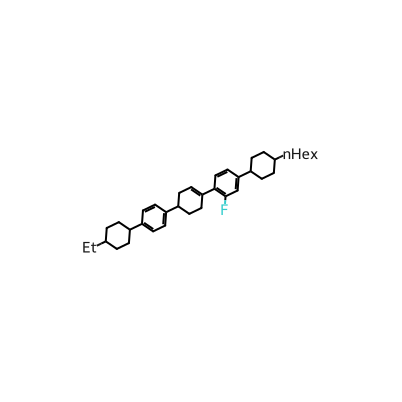 CCCCCCC1CCC(c2ccc(C3=CCC(c4ccc(C5CCC(CC)CC5)cc4)CC3)c(F)c2)CC1